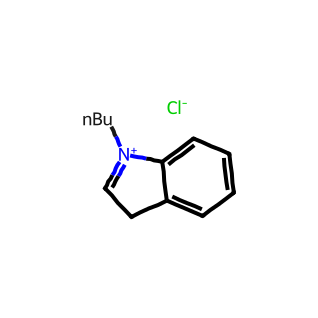 CCCC[N+]1=CCc2ccccc21.[Cl-]